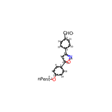 CCCCCOc1ccc(-c2cc(-c3ccc([C]=O)cc3)no2)cc1